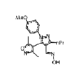 CCCc1nn(-c2ccc(OC)cc2)c(-c2c(C)noc2C)c1C=NO